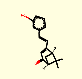 CC1(C)[C@@H]2C[C@H]1C(/C=C/c1cccc(O)c1)=CC2=O